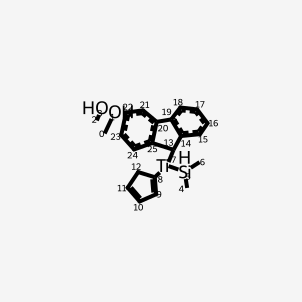 CO.CO.C[SiH](C)[Ti]([C]1=CC=CC1)[CH]1c2ccccc2-c2ccccc21